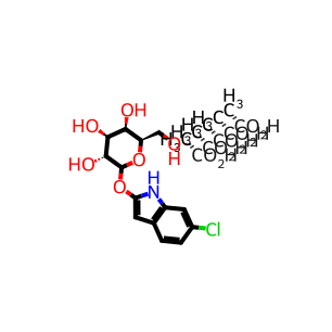 CC(=O)O.CC(=O)O.CC(=O)O.CC(=O)O.CC(=O)O.OC[C@H]1OC(Oc2cc3ccc(Cl)cc3[nH]2)[C@H](O)[C@@H](O)[C@H]1O